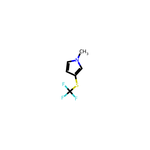 Cn1ccc(SC(F)(F)F)c1